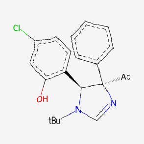 CC(=O)[C@]1(c2ccccc2)N=CN(C(C)(C)C)[C@H]1c1ccc(Cl)cc1O